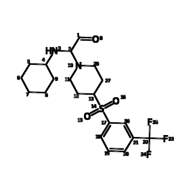 O=CC(NC1CCCCC1)N1CCC(S(=O)(=O)c2cccc(C(F)(F)F)c2)CC1